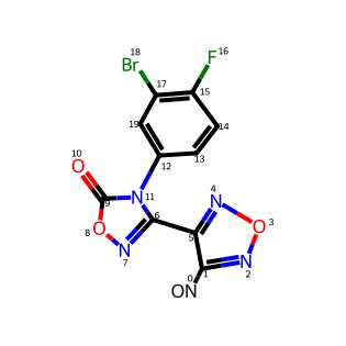 O=Nc1nonc1-c1noc(=O)n1-c1ccc(F)c(Br)c1